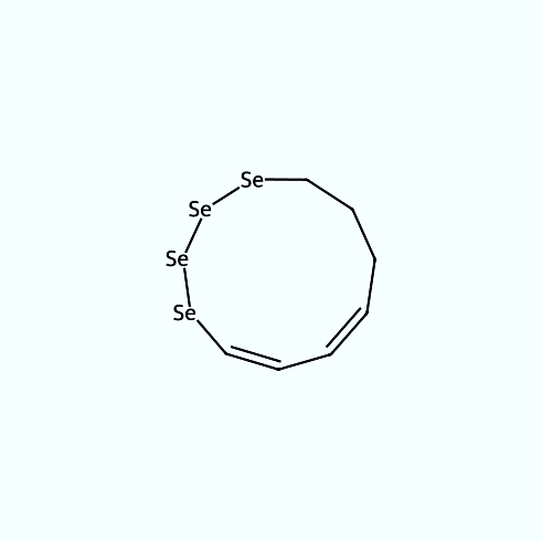 C1=C\CCC[Se][Se][Se][Se]\C=C/1